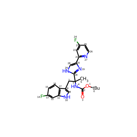 CC(C)(C)OC(=O)NC(C)(Cc1c[nH]c2cc(F)ccc12)c1nc(-c2cc(F)ccn2)c[nH]1